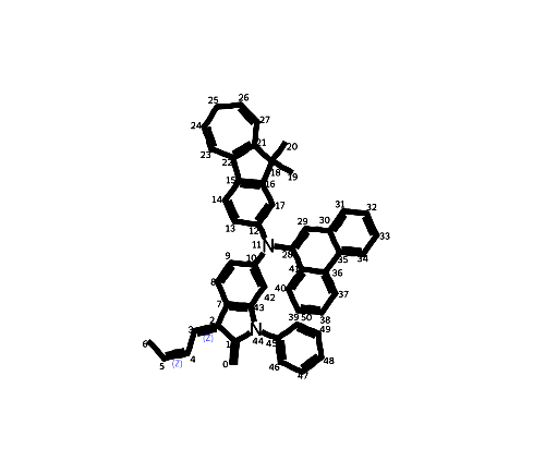 C=c1/c(=C\C=C/C)c2ccc(N(c3ccc4c(c3)C(C)(C)C3=C4C=CCC=C3)c3cc4ccccc4c4ccccc34)cc2n1-c1ccccc1